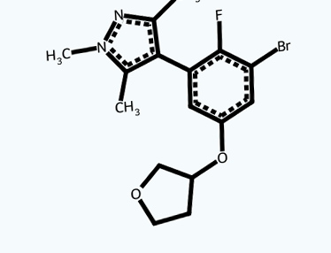 Cc1nn(C)c(C)c1-c1cc(OC2CCOC2)cc(Br)c1F